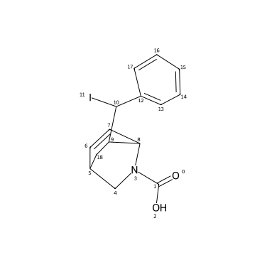 O=C(O)N1CC2C=CC1C(C(I)c1ccccc1)C2